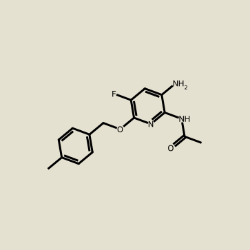 CC(=O)Nc1nc(OCc2ccc(C)cc2)c(F)cc1N